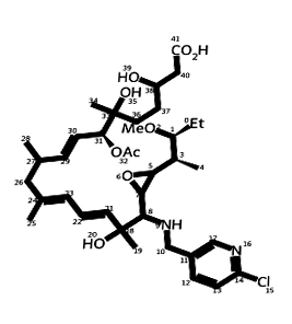 CC[C@H](OC)[C@@H](C)C1OC1C(NCc1ccc(Cl)nc1)C(C)(O)/C=C/C=C(\C)CC(C)/C=C/[C@H](OC(C)=O)C(C)(O)CCC(O)CC(=O)O